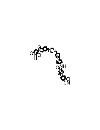 C[C@@H]1CN(c2ccc(C#N)c(Cl)c2)[C@@H](C)CN1C(=O)Nc1ccc(N2CCC(CN3CCN(c4ccc5c(c4)CN(C4CCC(=O)NC4=O)C5=O)CC3)CC2)nc1